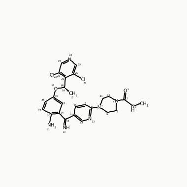 CNC(=O)N1CCN(c2ccc(C(=N)c3cc(O[C@H](C)c4c(Cl)cncc4Cl)ccc3N)cn2)CC1